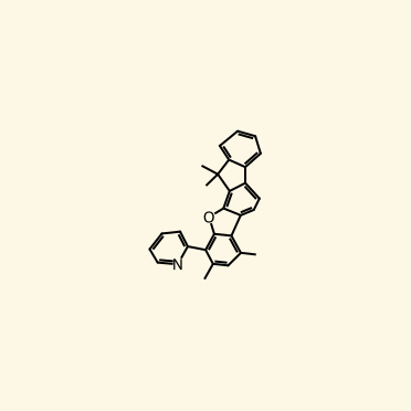 Cc1cc(C)c2c(oc3c4c(ccc32)-c2ccccc2C4(C)C)c1-c1ccccn1